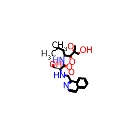 CC(C)CC(NC(=O)[C@H](CO)NC(=O)c1nccc2ccccc12)C(=O)C1(CO)CO1